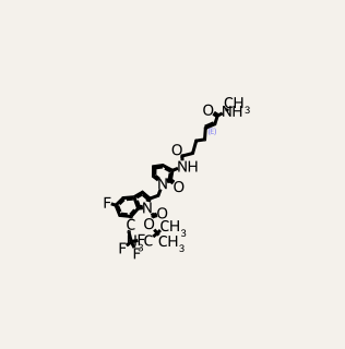 CNC(=O)/C=C/CCCC(=O)Nc1cccn(Cc2cc3cc(F)cc(CCC(F)(F)F)c3n2C(=O)OC(C)(C)C)c1=O